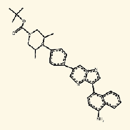 CC1CN(C(=O)OC(C)(C)C)CC(C)N1c1ccc(-c2cnc3c(-c4ccc(N)c5ccccc45)cnn3c2)cc1